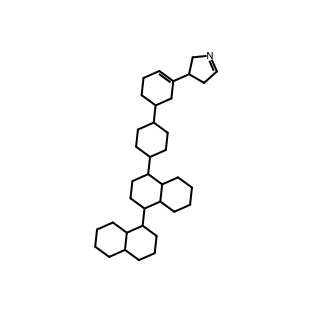 C1=NCC(C2=CCCC(C3CCC(C4CCC(C5CCCC6CCCCC65)C5CCCCC45)CC3)C2)C1